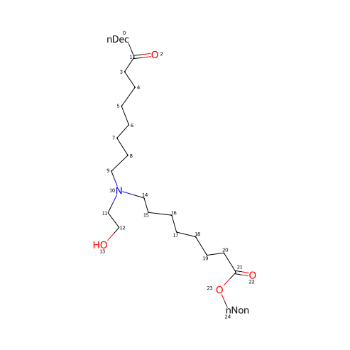 CCCCCCCCCCC(=O)CCCCCCCN(CCO)CCCCCCCC(=O)OCCCCCCCCC